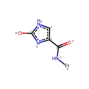 CCNC(=O)c1c[nH]c([O])n1